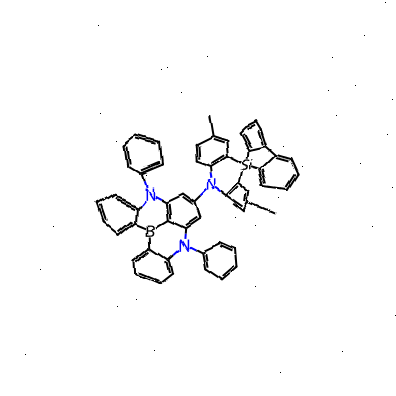 Cc1ccc2c(c1)[Si]1(c3ccccc3-c3ccccc31)c1cc(C)ccc1N2c1cc2c3c(c1)N(c1ccccc1)c1ccccc1B3c1ccccc1N2c1ccccc1